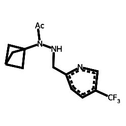 CC(=O)N(NCc1ccc(C(F)(F)F)cn1)C12CC(C1)C2